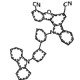 N#Cc1cccc2c1oc1c(C#N)cc3c4ccccc4n(-c4cccc(-c5cccc(-n6c7ccccc7c7ccccc76)c5)c4)c3c12